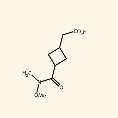 CON(C)C(=O)C1CC(CC(=O)O)C1